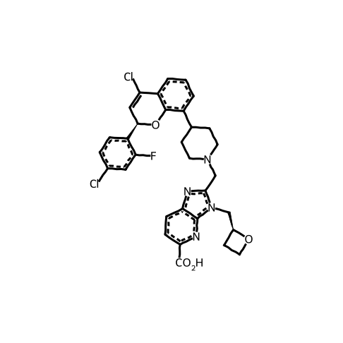 O=C(O)c1ccc2nc(CN3CCC(c4cccc5c4O[C@@H](c4ccc(Cl)cc4F)C=C5Cl)CC3)n(C[C@@H]3CCO3)c2n1